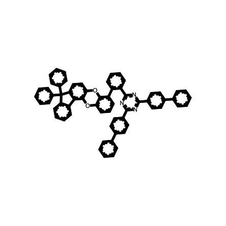 c1ccc(-c2ccc(-c3nc(-c4ccc(-c5ccccc5)cc4)nc(-c4ccccc4-c4cccc5c4Oc4ccc6c(c4O5)-c4ccccc4C6(c4ccccc4)c4ccccc4)n3)cc2)cc1